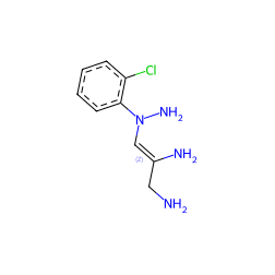 NC/C(N)=C/N(N)c1ccccc1Cl